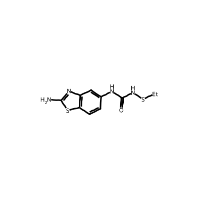 CCSNC(=O)Nc1ccc2sc(N)nc2c1